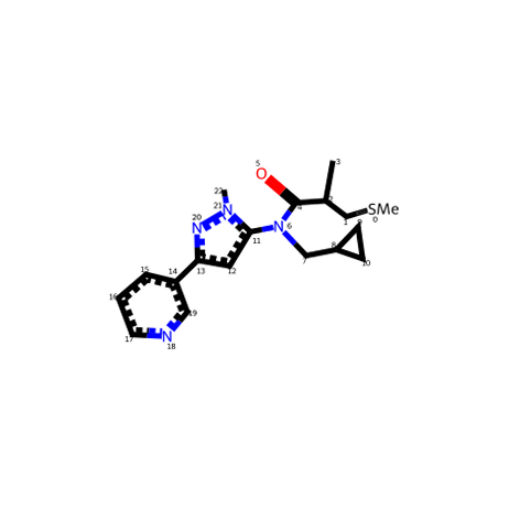 CSCC(C)C(=O)N(CC1CC1)c1cc(-c2cccnc2)nn1C